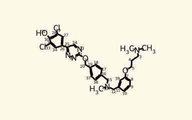 CN(C)CCCOc1cccc(CN(C)Cc2ccc(COc3ncc(-c4cc(Cl)c(O)c(Cl)c4)nn3)cc2)c1